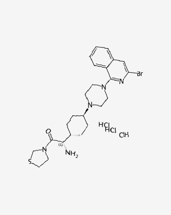 Cl.Cl.Cl.N[C@H](C(=O)N1CCSC1)[C@H]1CC[C@H](N2CCN(c3nc(Br)cc4ccccc34)CC2)CC1